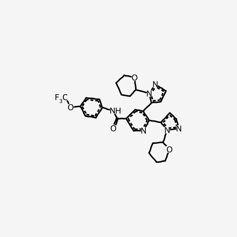 O=C(Nc1ccc(OC(F)(F)F)cc1)c1cnc(-c2ccnn2C2CCCCO2)c(-c2ccnn2C2CCCCO2)c1